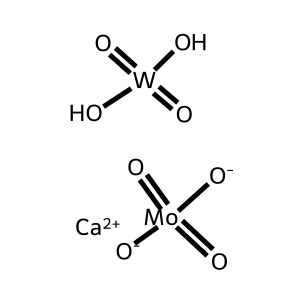 [Ca+2].[O]=[Mo](=[O])([O-])[O-].[O]=[W](=[O])([OH])[OH]